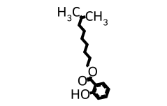 CC(C)CCCCCCCOC(=O)c1ccccc1O